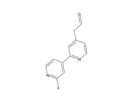 O=CCc1ccnc(-c2ccnc(F)c2)c1